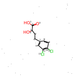 O=C(O)C(O)CCc1ccc(Cl)c(Cl)c1